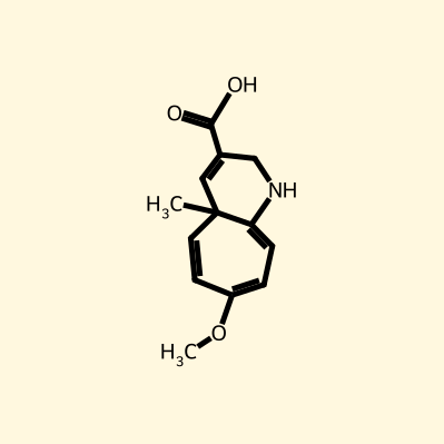 COC1=CC=C2NCC(C(=O)O)=CC2(C)C=C1